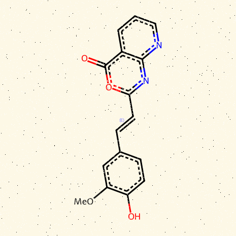 COc1cc(/C=C/c2nc3ncccc3c(=O)o2)ccc1O